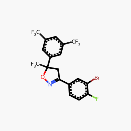 Fc1ccc(C2=NOC(c3cc(C(F)(F)F)cc(C(F)(F)F)c3)(C(F)(F)F)C2)cc1Br